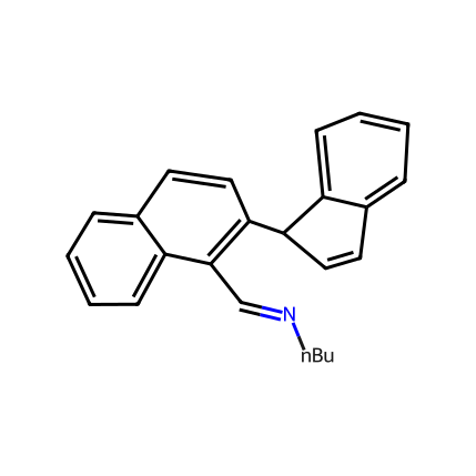 CCCCN=Cc1c(C2C=Cc3ccccc32)ccc2ccccc12